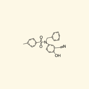 Cc1ccc(S(=O)(=O)N(Cc2ccccc2)c2ccc(O)c(C#N)c2)cc1